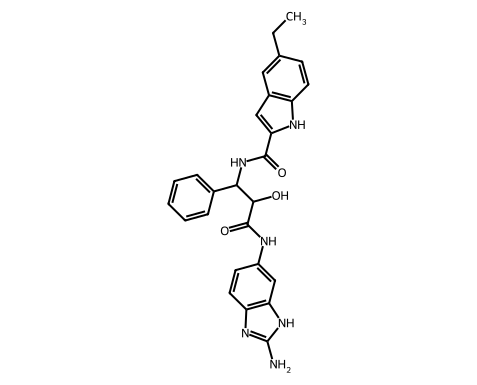 CCc1ccc2[nH]c(C(=O)NC(c3ccccc3)C(O)C(=O)Nc3ccc4nc(N)[nH]c4c3)cc2c1